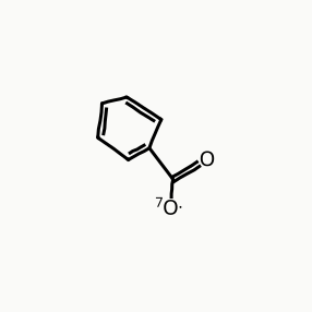 O=C([7O])c1ccccc1